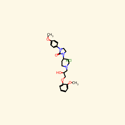 COc1ccc(N2CCN(C3CCN(CC(O)COc4ccccc4OC)CC3)C2=O)cc1.Cl